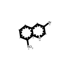 O=[N+]([O-])c1cccc2cc(Br)cnc12